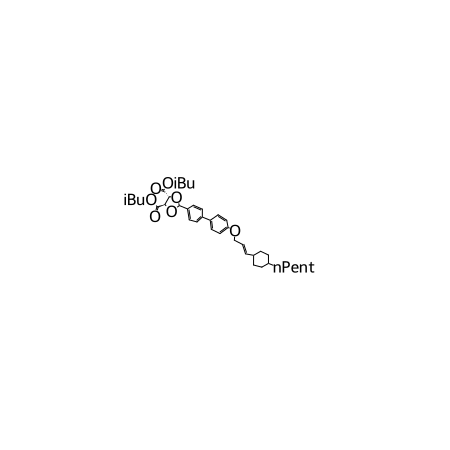 CCCCCC1CCC(C=CCOc2ccc(-c3ccc(C4O[C@@H](C(=O)OCC(C)C)[C@H](C(=O)OCC(C)C)O4)cc3)cc2)CC1